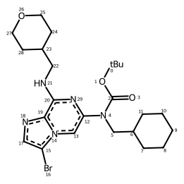 CC(C)(C)OC(=O)N(CC1CCCCC1)c1cn2c(Br)cnc2c(NCC2CCOCC2)n1